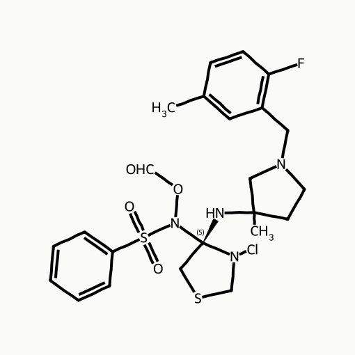 Cc1ccc(F)c(CN2CCC(C)(N[C@]3(N(OC=O)S(=O)(=O)c4ccccc4)CSCN3Cl)C2)c1